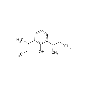 CC[C@H](C)c1cccc([C@@H](C)CC)c1O